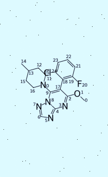 COc1nc2ncnn2c(N2CCC(C)CC2)c1-c1c(F)cccc1Cl